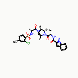 CC(C)C[C@H](NC(=O)c1cc2ccccc2[nH]1)C(=O)N1C[C@@H]2C[C@H]1CN2C(=O)[C@H](C)NS(=O)(=O)c1ccc(C#N)cc1Cl